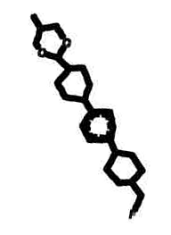 CC1COC(C2CCC(c3ccc(C4CCC(CF)CC4)cc3)CC2)OC1